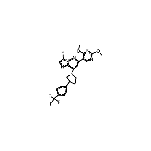 COc1ncc(-c2cc(N3CCC(c4ccc(C(F)(F)F)cc4)C3)c3ncc(F)n3n2)c(OC)n1